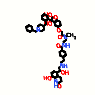 CN(CCNC(=O)c1ccc(CCNC[C@H](O)c2ccc(O)c3[nH]c(=O)ccc23)cc1)C(=O)COc1cccc([C@@](O)(C(=O)O)c2ccccc2CC2CCN(Cc3ccccc3)CC2)c1